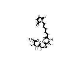 C[C@H](NC(=O)[C@@H](C)NC(=O)[C@H](C)NC(=O)CCCCCN1C(=O)C=CC1=O)C(N)=O